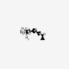 CC1(C)OB(c2cnn(C3CN(C(=O)C4CC4)C3)c2)OC1(C)C